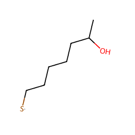 CC(O)CCCCC[S]